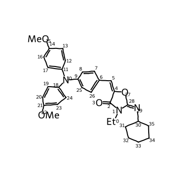 CCN1C(=O)/C(=C\c2ccc(N(c3ccc(OC)cc3)c3ccc(OC)cc3)cc2)O/C1=N/C1CCCCC1